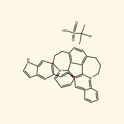 C(=C\c1cc2ccccc2[n+]2c1-c1c(ccc3c1-c1cccc[n+]1CCC3)CCC2)/c1ccc2[nH]ccc2c1.O=S(=O)(O)C(F)(F)F